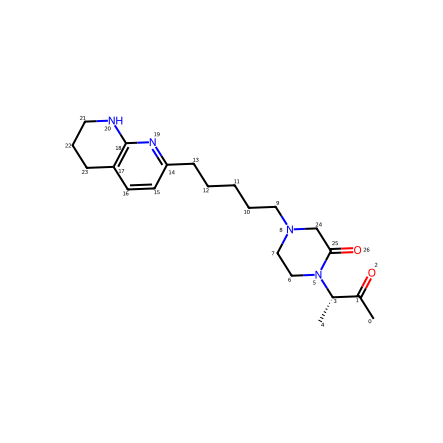 CC(=O)[C@H](C)N1CCN(CCCCCc2ccc3c(n2)NCCC3)CC1=O